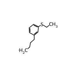 [CH2]CCCc1cccc(SCC)c1